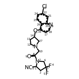 N#CC1CC(F)(F)CN1C(=O)CN1CCC(Oc2ccnc3cc(Cl)ccc23)C1